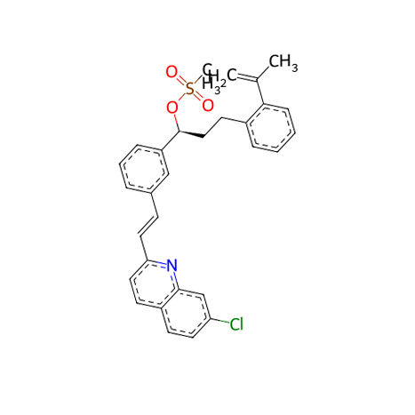 C=C(C)c1ccccc1CC[C@H](OS(C)(=O)=O)c1cccc(C=Cc2ccc3ccc(Cl)cc3n2)c1